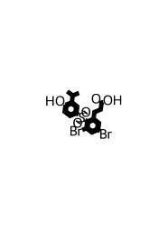 CC(C)c1cc(S(=O)(=O)c2c(Br)cc(Br)cc2CCC(=O)O)ccc1O